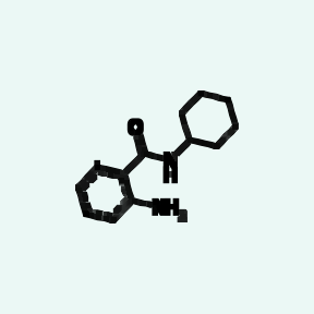 Nc1ccc[c]c1C(=O)NC1CCCCC1